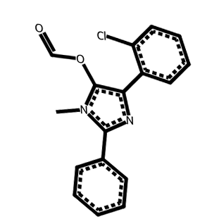 Cn1c(-c2ccccc2)nc(-c2ccccc2Cl)c1OC=O